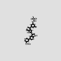 COc1cncc(-c2cnc3[nH]nc(-c4cc5c(-c6cc(F)cc(CNS(C)(=O)=O)c6)ccnc5[nH]4)c3c2)c1